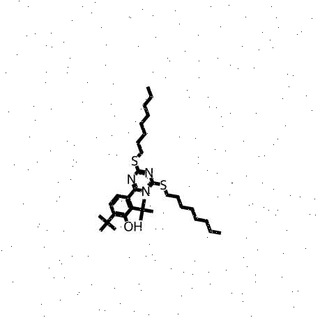 CCCCCCCCSc1nc(SCCCCCCCC)nc(-c2ccc(C(C)(C)C)c(O)c2C(C)(C)C)n1